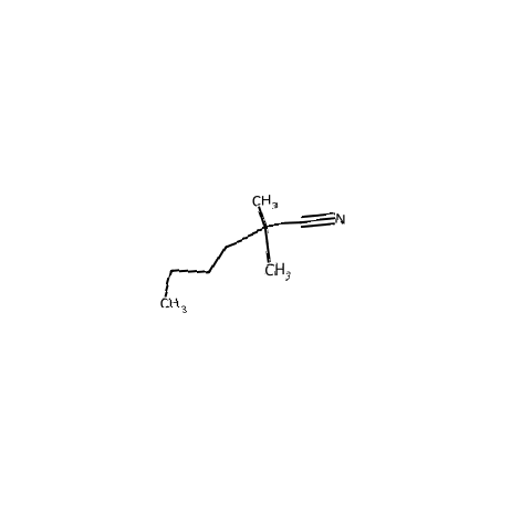 CCCCC(C)(C)C#N